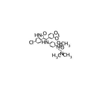 CN(C)CCN(c1ccc(NC(=C2C(=O)Nc3cc(Cl)ccc32)c2ccc3c(c2)OC=CO3)cc1)S(C)(=O)=O